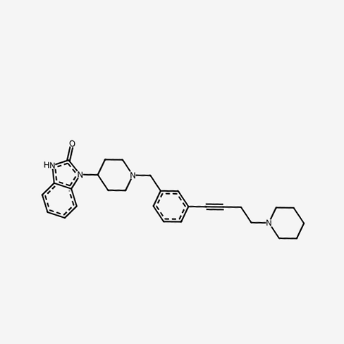 O=c1[nH]c2ccccc2n1C1CCN(Cc2cccc(C#CCCN3CCCCC3)c2)CC1